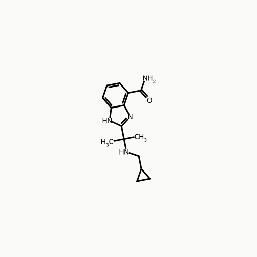 CC(C)(NCC1CC1)c1nc2c(C(N)=O)cccc2[nH]1